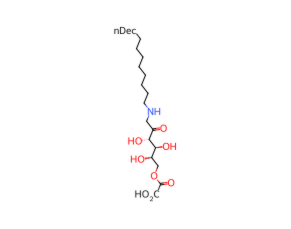 CCCCCCCCCCCCCCCCCCNCC(=O)[C@@H](O)[C@@H](O)[C@H](O)COC(=O)C(=O)O